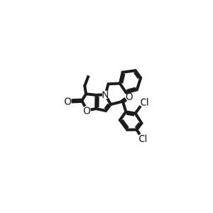 CCC1C(=O)Oc2cc(C(=O)c3ccc(Cl)cc3Cl)n(Cc3ccccc3)c21